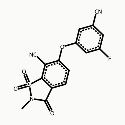 CN1C(=O)c2ccc(Oc3cc(F)cc(C#N)c3)c(C#N)c2S1(=O)=O